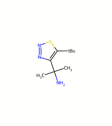 CC(C)(C)c1snnc1C(C)(C)N